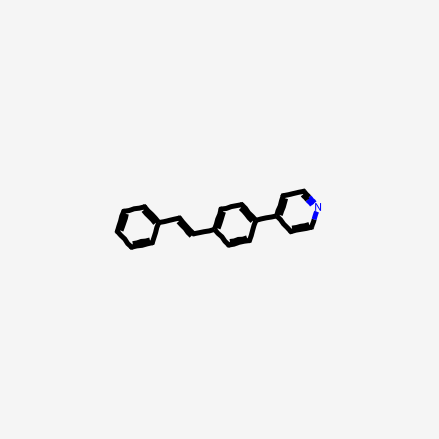 C(=C\c1ccc(-c2ccncc2)cc1)/c1ccccc1